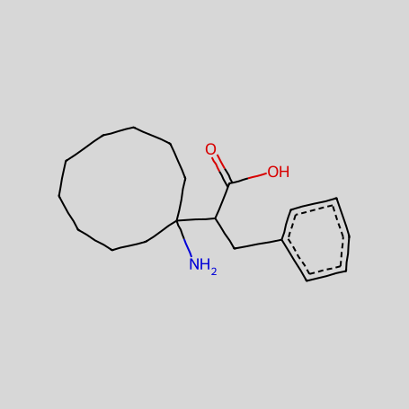 NC1(C(Cc2ccccc2)C(=O)O)CCCCCCCCC1